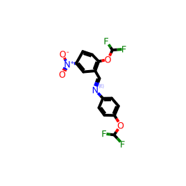 O=[N+]([O-])c1ccc(OC(F)F)c(/C=N/c2ccc(OC(F)F)cc2)c1